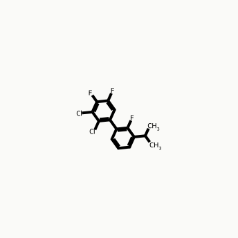 CC(C)c1cccc(-c2cc(F)c(F)c(Cl)c2Cl)c1F